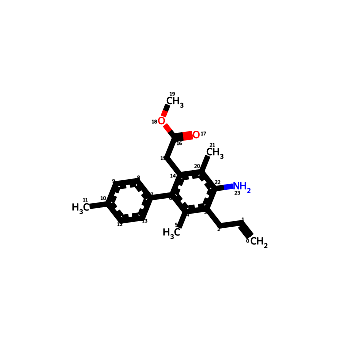 C=CCc1c(C)c(-c2ccc(C)cc2)c(CC(=O)OC)c(C)c1N